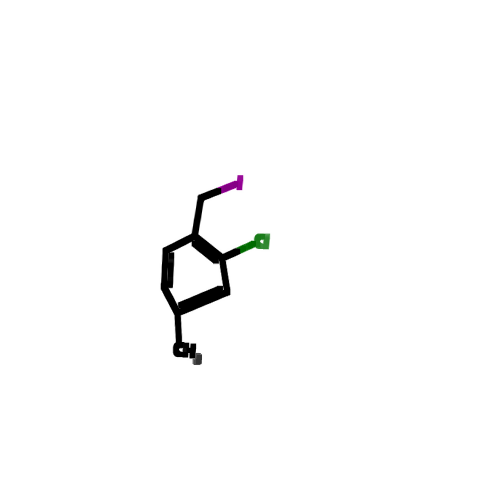 Cc1ccc(CI)c(Cl)c1